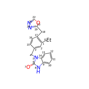 CCc1cc(Cn2c(=O)[nH]c3ccccc32)ccc1Cc1nnco1